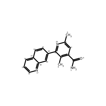 Cc1cc(C(N)=O)c(C)c(-c2ccc3cccnc3c2)n1